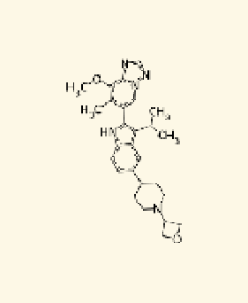 COc1c(C)c(-c2[nH]c3ccc(C4CCN(C5COC5)CC4)cc3c2C(C)C)cn2ncnc12